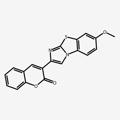 COc1ccc2c(c1)sc1nc(-c3cc4ccccc4oc3=O)cn12